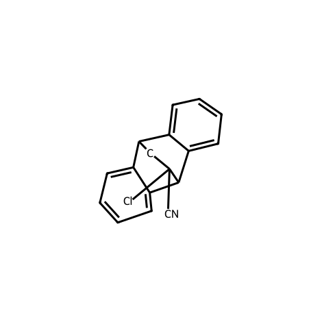 N#CC1(Cl)CC2c3ccccc3C1c1ccccc12